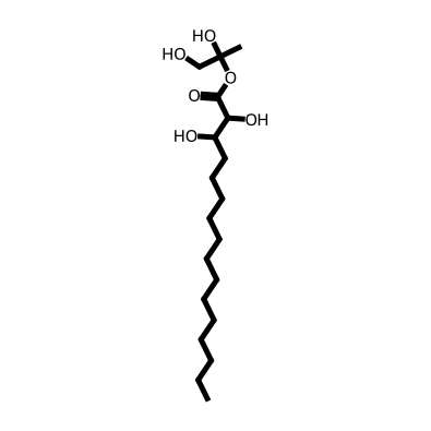 CCCCCCCCCCCCCC(O)C(O)C(=O)OC(C)(O)CO